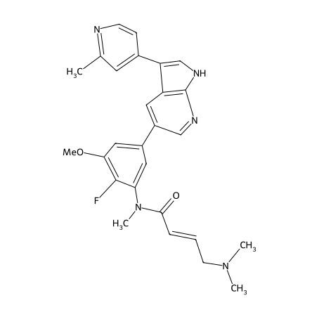 COc1cc(-c2cnc3[nH]cc(-c4ccnc(C)c4)c3c2)cc(N(C)C(=O)/C=C/CN(C)C)c1F